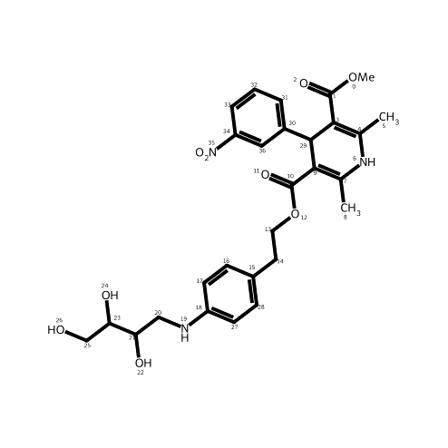 COC(=O)C1=C(C)NC(C)=C(C(=O)OCCc2ccc(NCC(O)C(O)CO)cc2)C1c1cccc([N+](=O)[O-])c1